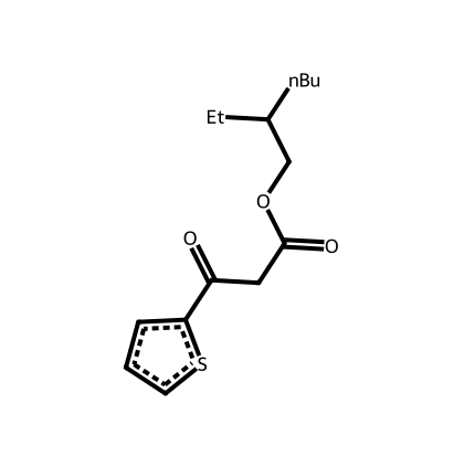 CCCCC(CC)COC(=O)CC(=O)c1cccs1